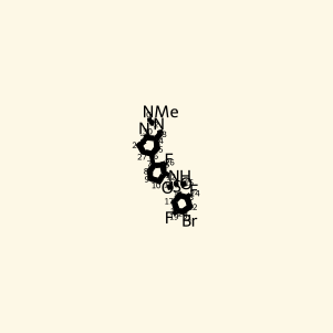 CNc1ncc2cc(-c3cccc(NS(=O)(=O)c4cc(F)c(Br)cc4F)c3F)ccc2n1